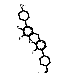 C=CC1CCC(c2ccc3c(c2F)Oc2c(cc(C4CCC(CCC)CC4)c(F)c2F)C3)CC1